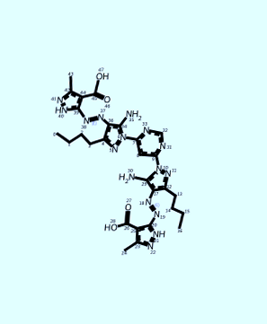 CCCCc1nn(-c2cc(-n3nc(CCCC)c(/N=N/c4[nH]nc(C)c4C(=O)O)c3N)ncn2)c(N)c1/N=N/c1[nH]nc(C)c1C(=O)O